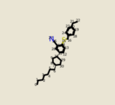 CCCCCCC[C@H]1CC[C@H](c2ccc(SCc3ccc(CC)cc3)c(C#N)c2)CC1